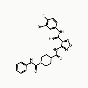 N=C(Nc1ccc(F)c(Br)c1)c1nonc1NC(=O)C1CCN(C(=O)Nc2ccccc2)CC1